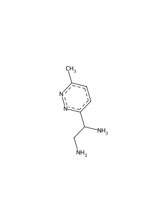 Cc1ccc(C(N)CN)nn1